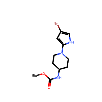 CC(C)(C)OC(=O)NC1CCN(c2cc(Br)c[nH]2)CC1